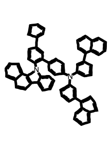 c1ccc(-c2ccc(-n3c4ccccc4c4ccc5ccccc5c43)c(-c3ccc(N(c4cccc(-c5cccc6ccccc56)c4)c4cccc(-c5cccc6ccccc56)c4)cc3)c2)cc1